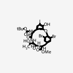 COC(=O)[C@@H]1Cc2cc(Br)c(c(Br)c2)Oc2cc(cc(I)c2O)C[C@H](NC(=O)OC(C)(C)C)C(=O)N[C@@H](C(C)O)C(=O)N1